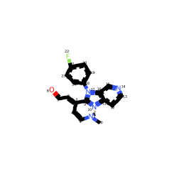 CN(C)/C=C\C(=C/C=O)c1nc2ccncc2n1-c1ccc(F)cc1